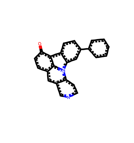 O=c1ccc2cc3cnccc3n3c4cc(-c5ccccc5)ccc4c1c23